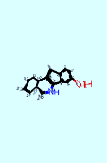 Oc1ccc2c(c1)C1=C(C2)C2CCCCC2CN1